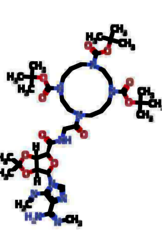 C=Nc1c(/C(N)=N\C)ncn1[C@@H]1O[C@H](C(=O)NCC(=O)N2CCCN(C(=O)OC(C)(C)C)CCN(C(=O)OC(C)(C)C)CCCN(C(=O)OC(C)(C)C)CC2)[C@H]2OC(C)(C)O[C@H]21